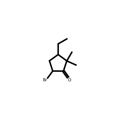 CCC1CC(Br)C(=O)C1(C)C